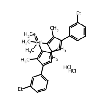 CCc1cccc(C2=CC(C)[C]([Hf]([CH3])([CH3])(=[GeH2])[C]3=C(C)C(c4cccc(CC)c4)=CC3C)=C2C)c1.Cl.Cl